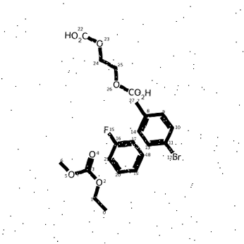 CCOC(=O)OC.Cc1ccc(Br)cc1.Fc1ccccc1.O=C(O)OCCOC(=O)O